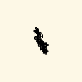 O=C(NCC(=O)N1CCSCC1)c1ccc(S(=O)(=O)Nc2ccccc2C(=O)c2ccccc2)cc1